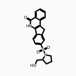 O=c1[nH]c2c(c3ccccc13)Cc1cc(S(=O)(=O)N3CCCC3CO)ccc1-2